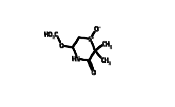 CC1(C)C(=O)NC(OC(=O)O)C[S+]1[O-]